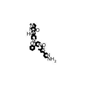 Cc1cc(-c2ccc(N)nc2)sc1C(=O)N1CC[C@@H](C(=O)N2CCC(O)(Cn3cnc4c(ccn4C)c3=O)CC2)[C@H](c2ccccc2)C1